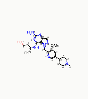 CCCC(CCO)Nc1nc(N)nc2cnn(Cc3ncc(C4CCN(C)CC4)cc3OC)c12